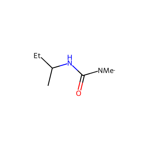 CCC(C)NC(=O)[N]C